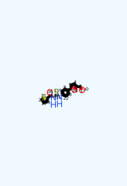 COCc1ccc(-c2ccc(NC(=S)NC(=O)c3cccs3)cc2)o1